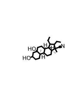 CCC1C(CC)C(C)(C#N)[C@@]2(C)CC[C@@H]3[C@@H](CCC4(O)CC(O)CC[C@]34C)[C@H]12